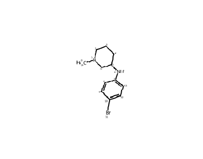 CN1CCC[C@@H](Nc2ccc(Br)cc2)C1